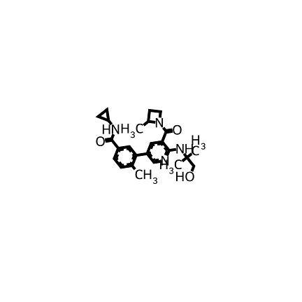 Cc1ccc(C(=O)NC2CC2)cc1-c1cnc(NC(C)(C)CO)c(C(=O)N2CCC2C)c1